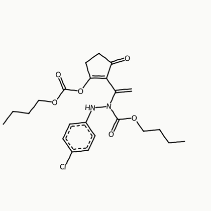 C=C(C1=C(OC(=O)OCCCC)CCC1=O)N(Nc1ccc(Cl)cc1)C(=O)OCCCC